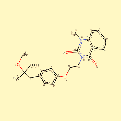 CC(C)OC(C)(Cc1ccc(OCCn2c(=O)c3ccccc3n(C)c2=O)cc1)C(=O)O